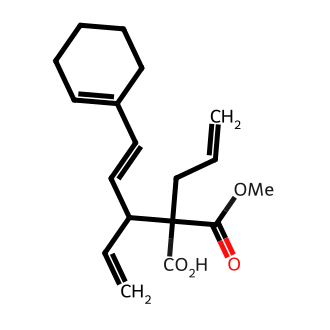 C=CCC(C(=O)O)(C(=O)OC)C(C=C)C=CC1=CCCCC1